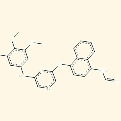 COc1cc(Nc2cncc(Oc3ccc(NC=O)c4ccccc34)n2)cc(OC)c1OC